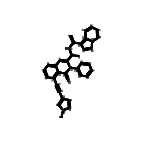 C=C(NC(C)c1cc2cccc(C#Cc3cnn(C)c3)c2c(=O)n1-c1ccccc1)c1cnn2cccnc12